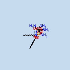 CCCCCCCCCCCCOC(=O)C(CSSC1O[C@H](COC(=O)CN)[C@@H](OC(=O)CN)[C@H](OC(=O)CN)[C@H]1OC(=O)CN)NC(=O)CCCCCCCCCCC